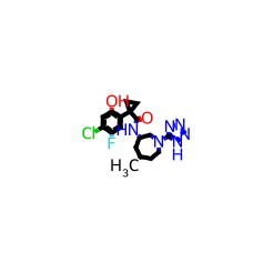 CC1CCN(c2nnn[nH]2)CC(NC(=O)C2(c3cc(F)c(Cl)cc3O)CC2)C1